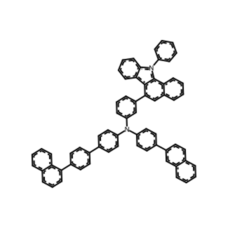 c1ccc(-n2c3ccccc3c3c(-c4cccc(N(c5ccc(-c6ccc(-c7cccc8ccccc78)cc6)cc5)c5ccc(-c6ccc7ccccc7c6)cc5)c4)cc4ccccc4c32)cc1